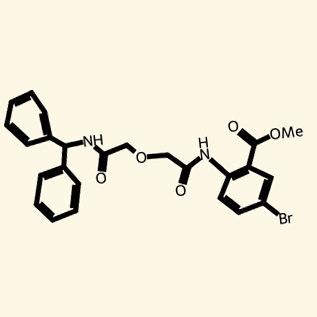 COC(=O)c1cc(Br)ccc1NC(=O)COCC(=O)NC(c1ccccc1)c1ccccc1